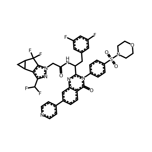 O=C(Cn1nc(C(F)F)c2c1C(F)(F)C1CC21)NC(Cc1cc(F)cc(F)c1)c1nc2cc(-c3ccncc3)ccc2c(=O)n1-c1ccc(S(=O)(=O)N2CCOCC2)cc1